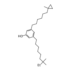 CCC(C)(C)CCCCCCc1cc(O)cc(CCCCCCC2(C)CC2)c1